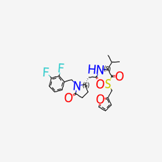 CC(C)[C@H](NC(=O)C[C@@H]1CCC(=O)N1Cc1cccc(F)c1F)C(=O)SCc1ccco1